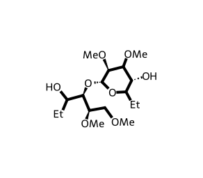 CCC1O[C@H](O[C@H](C(O)CC)[C@@H](COC)OC)[C@@H](OC)C(OC)[C@@H]1O